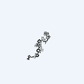 CC(C)(C)OC(=O)N1CC(CC(F)(F)CNc2cccc(S(=O)(=O)NC(=O)c3ccc(-n4ccc(OCCC5CCC56CC6)n4)nc3Cl)n2)CC1(C)C